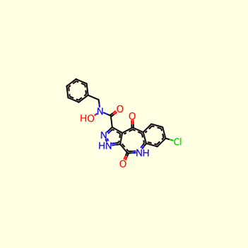 O=C(c1n[nH]c2c(=O)[nH]c3cc(Cl)ccc3c(=O)c12)N(O)Cc1ccccc1